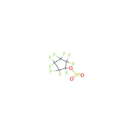 O=[SH](=O)OC1(F)C(F)(F)C(F)(F)C(F)(F)C1(F)F